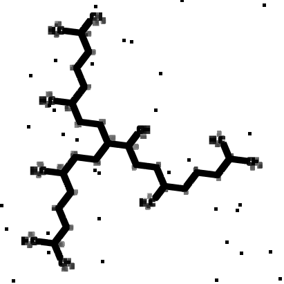 CC(C)CCCC(C)CCC(O)C(CCC(C)CCCC(C)C)CCC(C)CCCC(C)C